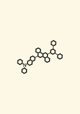 c1ccc(-c2cc(-c3ccccc3)cc(-c3cc4c5ccccc5c(-c5ccc6cc(N(c7ccccc7)c7ccccc7)ccc6c5)cc4c4ccccc34)c2)cc1